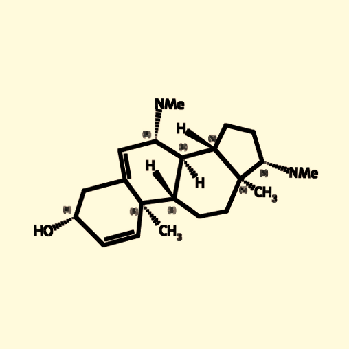 CN[C@H]1C=C2C[C@@H](O)C=C[C@]2(C)[C@H]2CC[C@]3(C)[C@@H](NC)CC[C@H]3[C@H]12